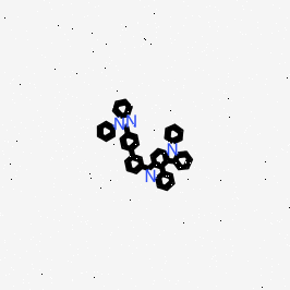 c1ccc(-n2c(-c3ccc(-c4cccc(-c5nc6ccccc6c6c5ccc5c6c6ccccc6n5-c5ccccc5)c4)cc3)nc3ccccc32)cc1